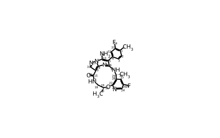 Cc1ccc(-c2c3nc4c(cnn4c2N)C(=O)NC[C@H](C)Oc2ncc(F)cc2[C@@H](C)N3)cc1F